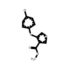 COC(=O)c1cscc1Sc1ccc(Cl)cc1